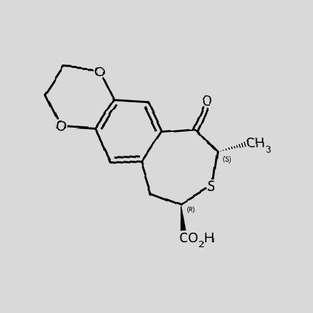 C[C@@H]1S[C@@H](C(=O)O)Cc2cc3c(cc2C1=O)OCCO3